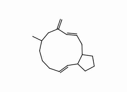 C=C1/C=C/CC2CCCC2/C=C/CCCC(C)C1